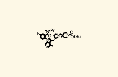 Cc1cncc2c1c(C[C@@H]1CCN(CC3(C)CCN(C(=O)OC(C)(C)C)CC3)C1)cn2-c1ccc(F)cc1C(=O)N(C)C(C)C